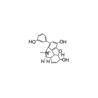 CN1CC[C@]23c4c5c(-c6cccc(O)c6)cc(O)c4O[C@H]2[C@@H](O)C=C[C@H]3[C@H]1C5